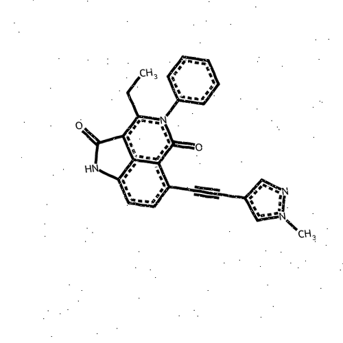 CCc1c2c3c(ccc(C#Cc4cnn(C)c4)c3c(=O)n1-c1ccccc1)NC2=O